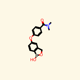 CN(C)C(=O)c1ccc(Oc2ccc3c(c2)COB3O)cc1